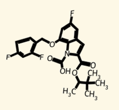 CC(OC(=O)c1cc2cc(F)cc(OCc3ccc(F)cc3F)c2n1C(=O)O)C(C)(C)C